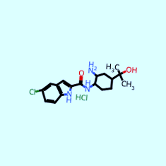 CC(C)(O)C1CCC(NC(=O)c2cc3cc(Cl)ccc3[nH]2)C(N)C1.Cl